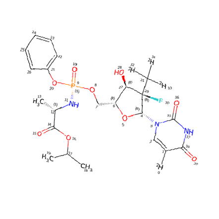 [2H]c1cn([C@@H]2O[C@H](CO[P@@](=O)(N[C@@H](C)C(=O)OC(C)C)Oc3ccccc3)[C@@H](O)[C@]2(F)C([2H])([2H])[2H])c(=O)[nH]c1=O